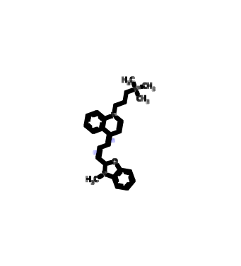 CN1c2ccccc2OC1/C=C\C=C1\C=CN(CCC[N+](C)(C)C)c2ccccc21